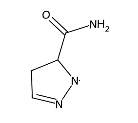 NC(=O)C1CC=N[N]1